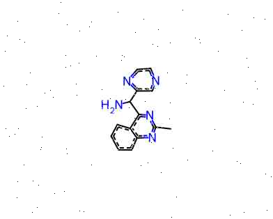 Cc1nc(C(N)c2cnccn2)c2ccccc2n1